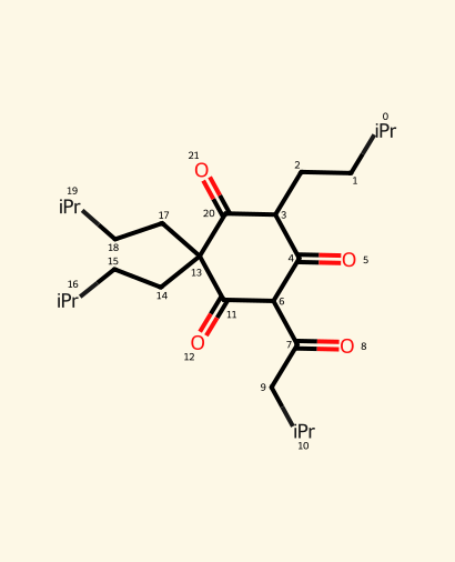 CC(C)CCC1C(=O)C(C(=O)CC(C)C)C(=O)C(CCC(C)C)(CCC(C)C)C1=O